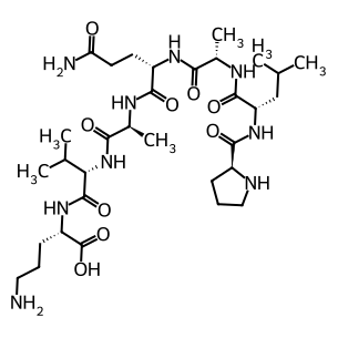 CC(C)C[C@H](NC(=O)[C@@H]1CCCN1)C(=O)N[C@@H](C)C(=O)N[C@@H](CCC(N)=O)C(=O)N[C@@H](C)C(=O)N[C@H](C(=O)N[C@@H](CCCN)C(=O)O)C(C)C